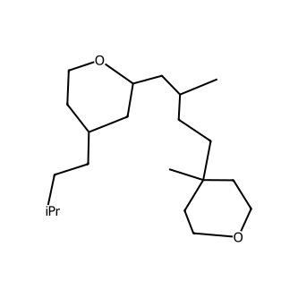 CC(C)CCC1CCOC(CC(C)CCC2(C)CCOCC2)C1